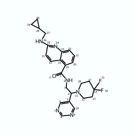 O=C(NCC(c1cncnc1)N1CCC(F)(F)CC1)c1cccc2nc(NCC3CC3)ccc12